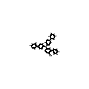 Brc1ccc(N(c2ccc(-c3ccccc3)cc2)c2ccc(-c3ccccc3)cc2)cc1-c1ccccc1